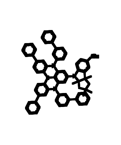 CC1(C)CC2(C)c3cc(C(C)(C)C)ccc3N(c3cc4c5c(c3)N(c3cccc(-c6ccccc6)c3)c3cc(-c6ccccc6)ccc3B5c3ccc(-c5ccccc5)cc3N4c3cccc(-c4ccccc4)c3)C2(C)C1